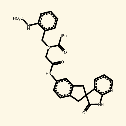 CC(C)(C)C(=O)N(CC(=O)Nc1ccc2c(c1)CC1(C2)C(=O)Nc2ncccc21)Cc1ccccc1NC(=O)O